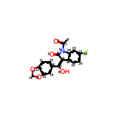 CC(=O)N1C(=O)C(=C(O)c2ccc3c(c2)OCO3)c2ccc(F)cc21